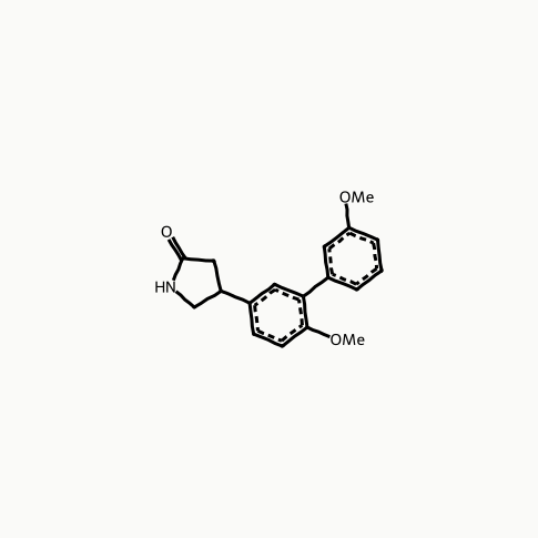 COc1cccc(-c2cc(C3CNC(=O)C3)ccc2OC)c1